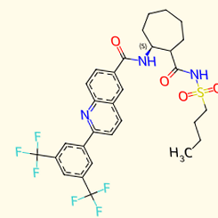 CCCCS(=O)(=O)NC(=O)C1CCCCC[C@@H]1NC(=O)c1ccc2nc(-c3cc(C(F)(F)F)cc(C(F)(F)F)c3)ccc2c1